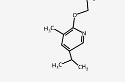 CCOc1ncc(C(C)C)cc1C